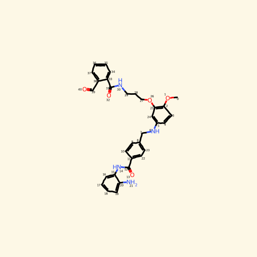 COc1ccc(NCc2ccc(C(=O)Nc3ccccc3N)cc2)cc1OCCCNC(=O)c1ccccc1C=O